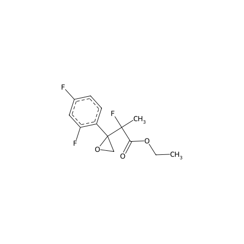 CCOC(=O)C(C)(F)C1(c2ccc(F)cc2F)CO1